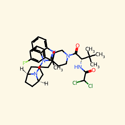 Cc1nc2ccccc2n1C1C[C@H]2CC[C@@H](C1)N2CCC1(c2cccc(F)c2)CCN(C(=O)[C@@H](NC(=O)C(Cl)Cl)C(C)(C)C)CC1